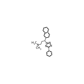 CN(C)CCC(c1ccc2ccccc2c1)n1nnc(-c2ccccc2)n1